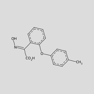 Cc1ccc(Oc2ccccc2/C(=N\O)C(=O)O)cc1